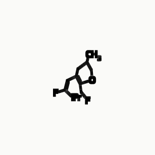 CC1COC(CF)=C(/C=C(/F)C(C)C)C1